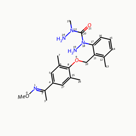 CO/N=C(\C)c1cc(C)c(OCc2c(C)cccc2N(N)C(=O)N(C)N)c(C)c1